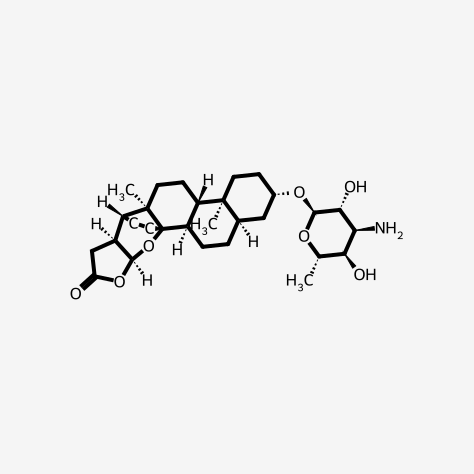 C[C@@H]1O[C@@H](O[C@H]2CC[C@@]3(C)[C@H](CC[C@@H]4[C@@H]3CC[C@]3(C)[C@@H]5CC[C@]43O[C@H]3OC(=O)C[C@H]35)C2)[C@H](O)[C@@H](N)[C@H]1O